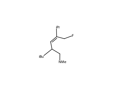 CCC(C)C(/C=C(\CF)C(C)C)CNC